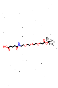 CC(C)(C)OC(=O)CCOCCOCCOCCNC(=O)CCCC(=O)O